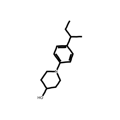 CCC(C)c1ccc(N2CCC(O)CC2)cc1